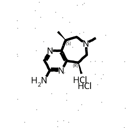 C[C@@H]1CN(C)C[C@H](C)c2ncc(N)nc21.Cl.Cl